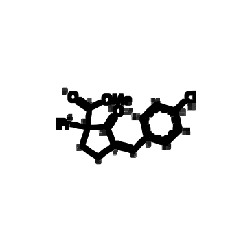 COC(=O)C1(C(C)C)CCC(=Cc2ccc(Cl)cc2)C1=O